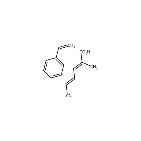 C=Cc1ccccc1.CC(=CC=CC#N)C(=O)O